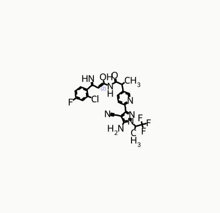 CC(C(=O)N/C(O)=C/C(=N)c1ccc(F)cc1Cl)c1ccc(-c2nn(C(C)C(F)(F)F)c(N)c2C#N)nc1